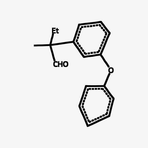 CCC(C)(C=O)c1cccc(Oc2ccccc2)c1